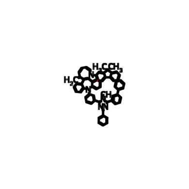 C=C1/C=C\C=C/N(c2ccc3c(c2)C(C)(C)c2ccccc2-3)C2=C1c1ccccc1N(c1cccc(C3N(C)C(c4cccc(-c5ccccc5)c4)N4C(c5ccccc5)N34)c1)c1ccccc12